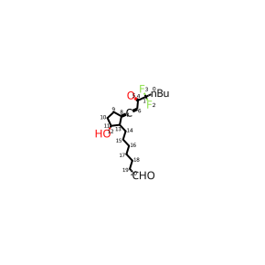 CCCCC(F)(F)C(=O)C=C=C1CCC(O)C1CCCCCCC=O